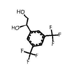 OC[C@H](O)c1cc(C(F)(F)F)cc(C(F)(F)F)c1